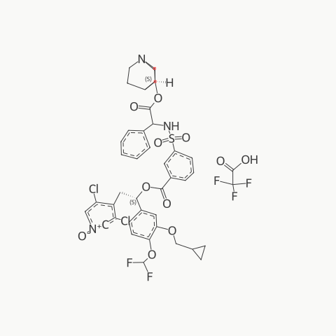 O=C(O)C(F)(F)F.O=C(O[C@@H](Cc1c(Cl)c[n+]([O-])cc1Cl)c1ccc(OC(F)F)c(OCC2CC2)c1)c1cccc(S(=O)(=O)NC(C(=O)O[C@@H]2CN3CCC2CC3)c2ccccc2)c1